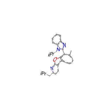 Cc1ccc2c(oc3nc(CC(C)C)ccc32)c1-c1nc2ccccc2n1C(C)C